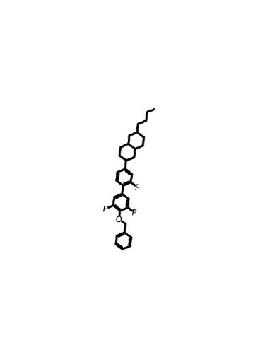 CCCCC1CCC2CC(c3ccc(-c4cc(F)c(OCc5ccccc5)c(F)c4)c(F)c3)CCC2C1